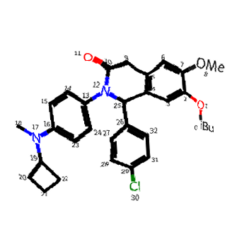 CCC(C)Oc1cc2c(cc1OC)CC(=O)N(c1ccc(N(C)C3CCC3)cc1)C2c1ccc(Cl)cc1